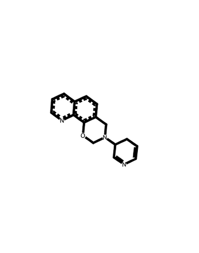 C1=CN=CC(N2COc3c(ccc4cccnc34)C2)C1